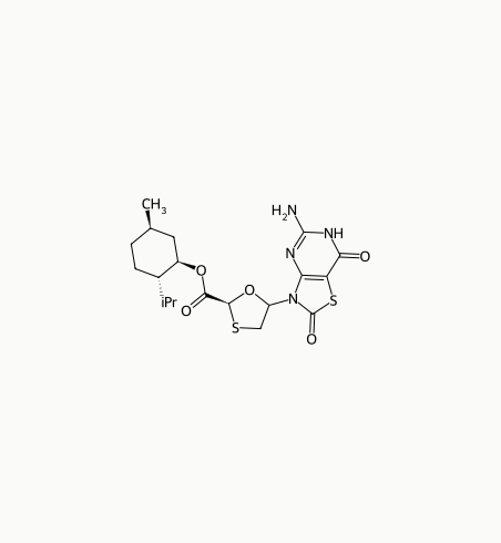 CC(C)[C@@H]1CC[C@@H](C)C[C@H]1OC(=O)[C@H]1OC(n2c(=O)sc3c(=O)[nH]c(N)nc32)CS1